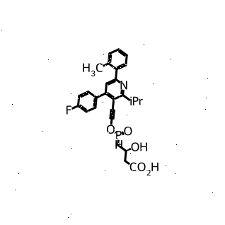 Cc1ccccc1-c1cc(-c2ccc(F)cc2)c(C#CO[PH](=O)C[C@@H](O)CC(=O)O)c(C(C)C)n1